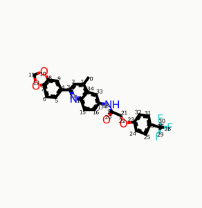 Cc1cc(-c2ccc3c(c2)OCO3)nc2ccc(NC(=O)COc3ccc(C(F)(F)F)cc3)cc12